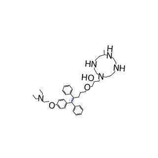 CCN(CC)CCOc1ccc(/C(=C(/CCCOCC(O)CN2CCCNCCNC(C)CCNCC2)c2ccccc2)c2ccccc2)cc1